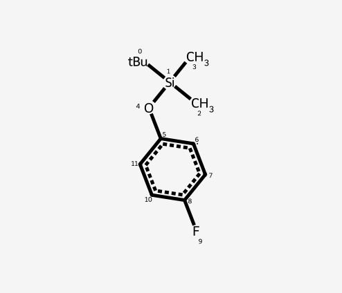 CC(C)(C)[Si](C)(C)Oc1[c]cc(F)cc1